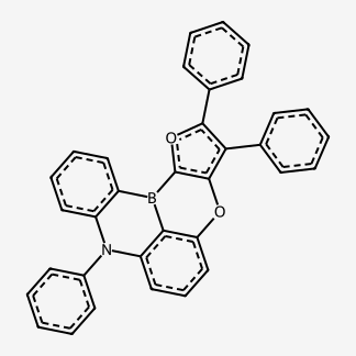 c1ccc(-c2oc3c(c2-c2ccccc2)Oc2cccc4c2B3c2ccccc2N4c2ccccc2)cc1